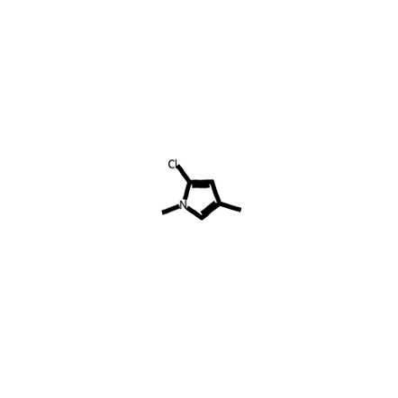 Cc1cc(Cl)n(C)c1